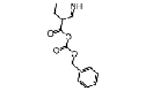 CCC(C=N)C(=O)OC(=O)OCc1ccccc1